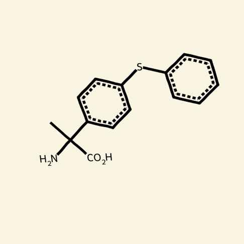 CC(N)(C(=O)O)c1ccc(Sc2ccccc2)cc1